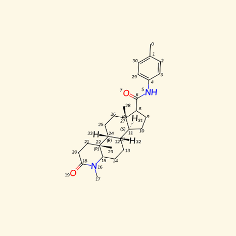 Cc1ccc(NC(=O)C2CC[C@H]3[C@@H]4CCC5N(C)C(=O)CC[C@]5(C)[C@@H]4CC[C@]23C)cc1